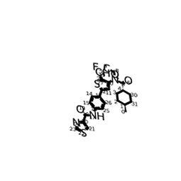 C[C@H]1CC[C@H](C(=O)N(CC(F)(F)F)c2cc(-c3ccc(NC(=O)c4cscn4)cc3)sc2C=O)CC1